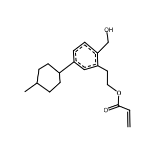 C=CC(=O)OCCc1cc(C2CCC(C)CC2)ccc1CO